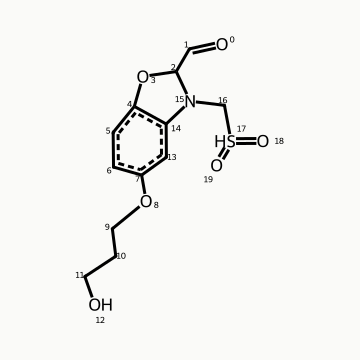 O=CC1Oc2ccc(OCCCO)cc2N1C[SH](=O)=O